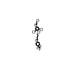 O=CCOc1cc(Cl)c(OCCCCOc2ccc(C(F)(F)F)cc2)c(Cl)c1